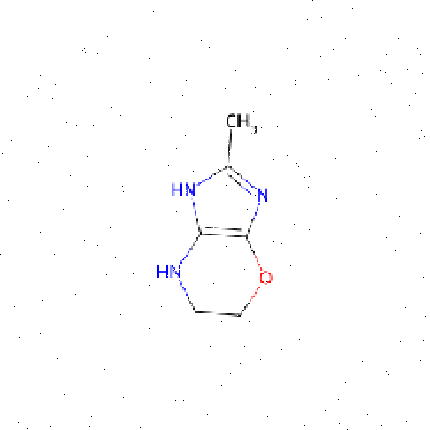 Cc1nc2c([nH]1)NCCO2